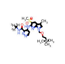 [2H]C([2H])([2H])NC(=O)c1nnccc1Nc1nc2c(cc1S(C)(=O)=O)c(C)cn2COCC[Si](C)(C)C